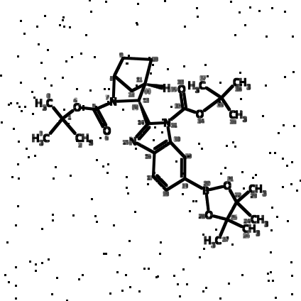 CC(C)(C)OC(=O)N1C2CC[C@@H](C2)[C@H]1c1nc2ccc(B3OC(C)(C)C(C)(C)O3)cc2n1C(=O)OC(C)(C)C